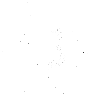 Cc1nc2ccc(Oc3ccc4ncc(-c5cnn(C6CN(C(=O)Oc7ccccc7[N+](=O)[O-])C6)c5)nc4c3Cl)cc2n1COCC[Si](C)(C)C